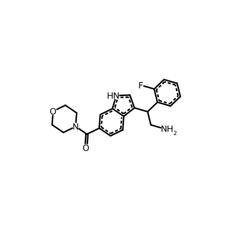 NCC(c1ccccc1F)c1c[nH]c2cc(C(=O)N3CCOCC3)ccc12